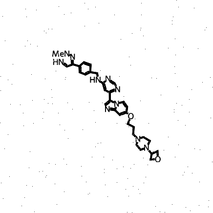 CN/N=C(\C=N)c1ccc(CNc2cc(-c3cnc4cc(OCCCN5CCN(C6COC6)CC5)ccn34)ncn2)cc1